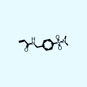 C=CC(=O)NCc1ccc(S(=O)(=O)N(C)C)cc1